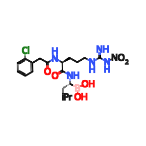 CC(C)C[C@H](NC(=O)[C@H](CCCNC(=N)N[N+](=O)[O-])NC(=O)Cc1ccccc1Cl)B(O)O